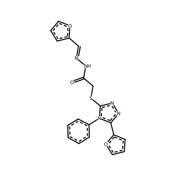 O=C(CSc1nnc(-c2ccco2)n1-c1ccccc1)NN=Cc1ccco1